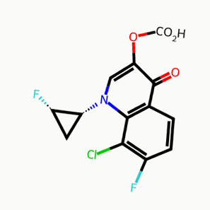 O=C(O)Oc1cn([C@@H]2C[C@@H]2F)c2c(Cl)c(F)ccc2c1=O